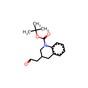 CC(C)(C)OC(=O)N1CC(CC=O)Cc2ccccc21